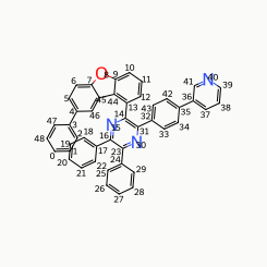 c1ccc(-c2ccc3oc4cccc(-c5nc(-c6ccccc6)c(-c6ccccc6)nc5-c5ccc(-c6cccnc6)cc5)c4c3c2)cc1